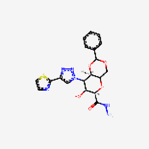 NNC(=O)[C@@H]1OC2COC(c3ccccc3)O[C@@H]2C(n2cc(-c3nccs3)nn2)C1O